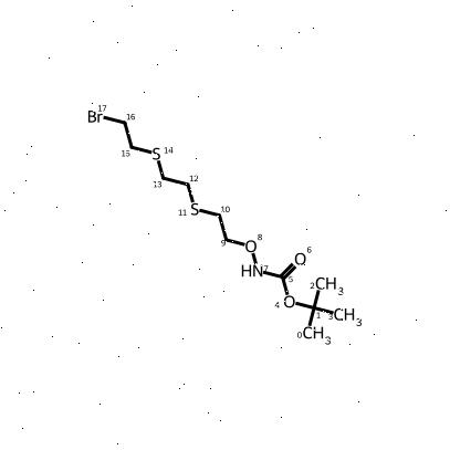 CC(C)(C)OC(=O)NOCCSCCSCCBr